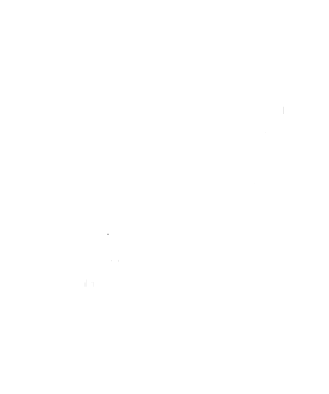 CCCO[SiH](CCCCc1ccc(F)cc1)OCCC